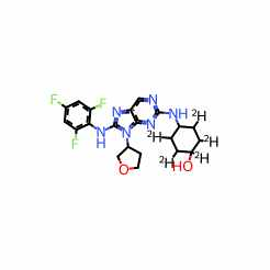 [2H]C1C(Nc2ncc3nc(Nc4c(F)cc(F)cc4F)n(C4CCOC4)c3n2)C([2H])C([2H])C([2H])(O)C1[2H]